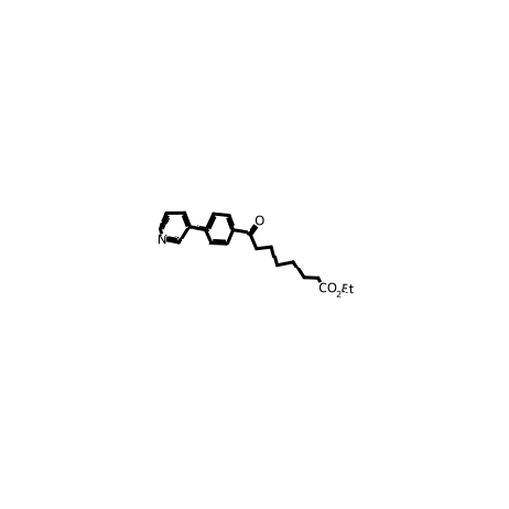 CCOC(=O)CCCCCCC(=O)c1ccc(-c2cccnc2)cc1